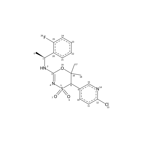 C[C@H](NC1=NS(=O)(=O)C(c2ccc(Cl)nc2)C(C)(C)O1)c1ccccc1F